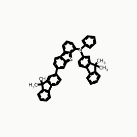 CC1(C)c2ccccc2-c2ccc(-c3ccc4c(c3)sc3c(N(c5ccccc5)c5ccc6c(c5)C(C)(C)c5ccccc5-6)cccc34)cc21